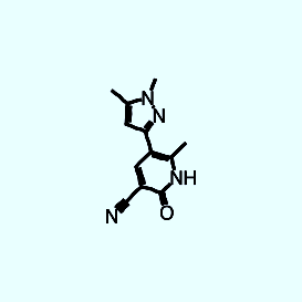 Cc1[nH]c(=O)c(C#N)cc1-c1cc(C)n(C)n1